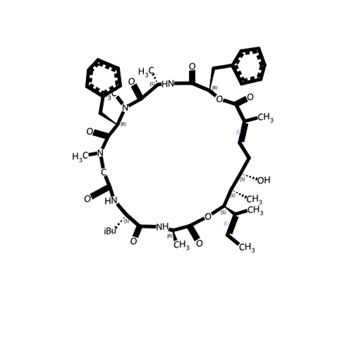 C/C=C(\C)[C@H]1OC(=O)[C@@H](C)NC(=O)[C@H](C(C)CC)NC(=O)CN(C)C(=O)[C@@H](Cc2ccccc2)N(C)C(=O)[C@H](C)NC(=O)[C@@H](Cc2ccccc2)OC(=O)/C(C)=C/C[C@H](O)[C@@H]1C